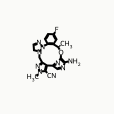 C[C@H]1Oc2nc(cnc2N)-c2c(nn(C)c2C#N)CN2CC=NN2c2ccc(F)cc21